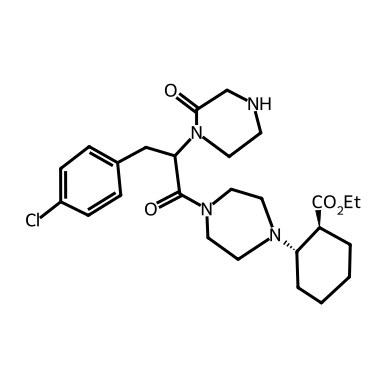 CCOC(=O)[C@H]1CCCC[C@@H]1N1CCN(C(=O)C(Cc2ccc(Cl)cc2)N2CCNCC2=O)CC1